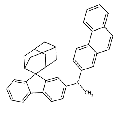 CN(c1ccc2c(c1)C1(c3ccccc3-2)C2CC3CC(C2)CC1C3)c1ccc2c(ccc3ccccc32)c1